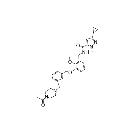 COc1c(CNC(=O)c2cc(C3CC3)nn2C)cccc1OCc1cccc(CN2CCN(C(C)=O)CC2)c1